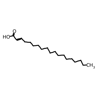 CCCCCCCCCCCCCCCCC=CC(=O)O